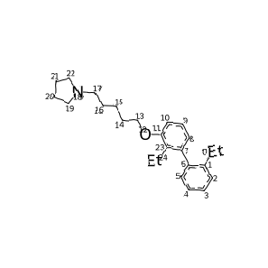 CCc1ccccc1-c1cccc(OCCCCCN2CCCC2)c1CC